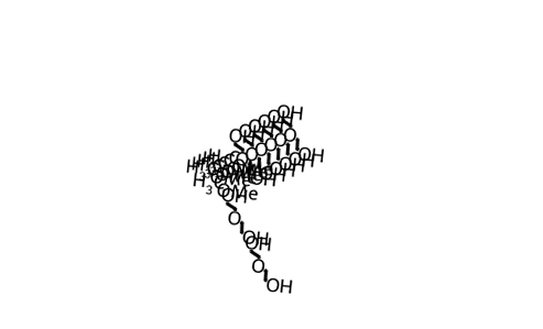 COC.COC.COC.COC.COC.COC.OCCOCCO.OCCOCCO.OCCOCCO.OCCOCCO.OCCOCCO.OCCOCCO.OCCOCCO.OCCOCCO